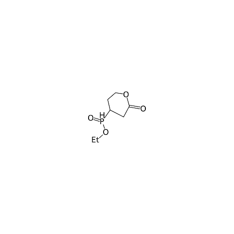 CCO[PH](=O)C1CCOC(=O)C1